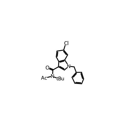 CC(=O)N(C(=O)c1cn(Cc2ccccc2)c2cc(Cl)ccc12)C(C)(C)C